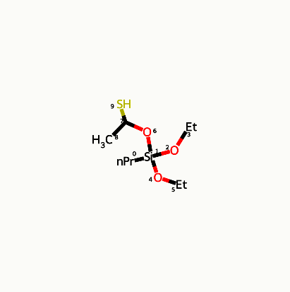 CCC[Si](OCC)(OCC)OC(C)S